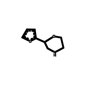 c1coc(C2CNCCO2)c1